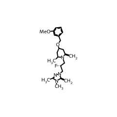 C=C1N(C[C@H](F)CN2C(=C)CC(OCc3cccc(OC)c3)CC2C)N=C(C)N1C